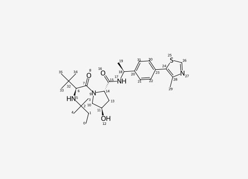 CCC(C)(C)N[C@H](C(=O)N1C[C@H](O)C[C@H]1C(=O)N[C@@H](C)c1ccc(-c2scnc2C)cc1)C(C)(C)C